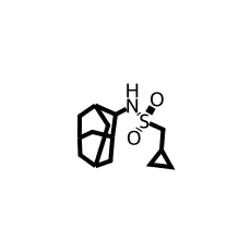 O=S(=O)(CC1CC1)NC1C2CC3CC(C2)CC1C3